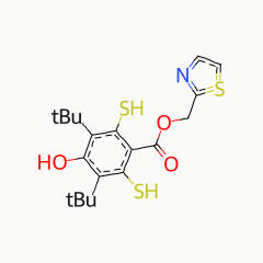 CC(C)(C)c1c(O)c(C(C)(C)C)c(S)c(C(=O)OCc2nccs2)c1S